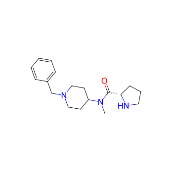 CN(C(=O)[C@@H]1CCCN1)C1CCN(Cc2ccccc2)CC1